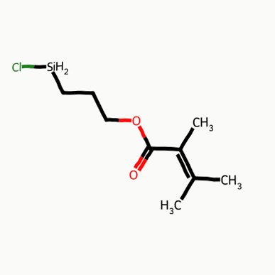 CC(C)=C(C)C(=O)OCCC[SiH2]Cl